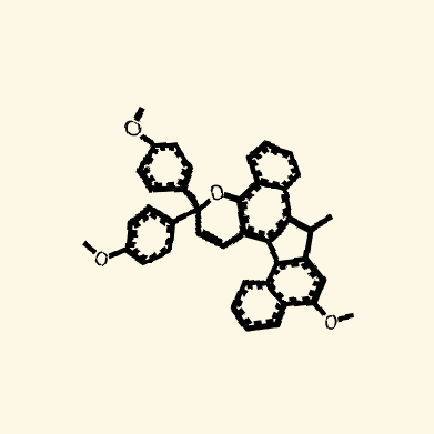 COc1ccc(C2(c3ccc(OC)cc3)C=Cc3c4c(c5ccccc5c3O2)C(C)c2cc(OC)c3ccccc3c2-4)cc1